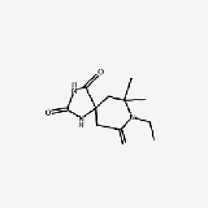 C=C1CC2(CC(C)(C)N1CC)NC(=O)NC2=O